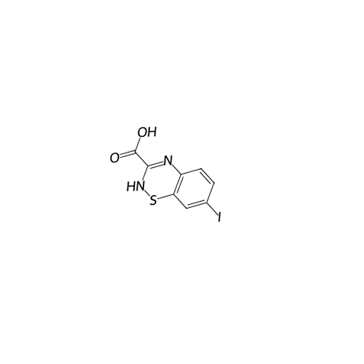 O=C(O)C1=Nc2ccc(I)cc2SN1